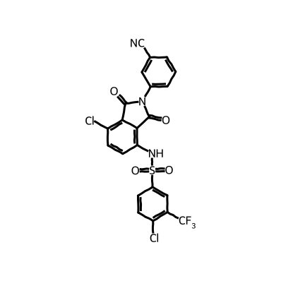 N#Cc1cccc(N2C(=O)c3c(Cl)ccc(NS(=O)(=O)c4ccc(Cl)c(C(F)(F)F)c4)c3C2=O)c1